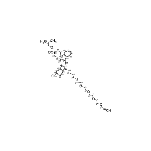 C#CCOCCOCCOCCOCCOCCCCn1c(CN2C(=O)C3(CCN(C(=O)OCC(C)C)CC3)c3ccncc32)nc2cc(Cl)ccc21